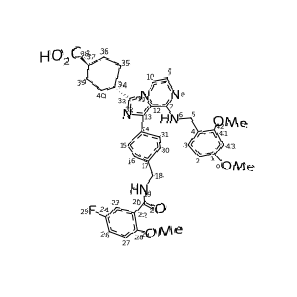 COc1ccc(CNc2nccn3c2c(-c2ccc(CNC(=O)c4cc(F)ccc4OC)cc2)nc3[C@H]2CC[C@H](C(=O)O)CC2)c(OC)c1